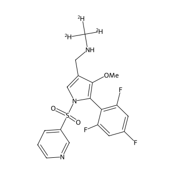 [2H]C([2H])([2H])NCc1cn(S(=O)(=O)c2cccnc2)c(-c2c(F)cc(F)cc2F)c1OC